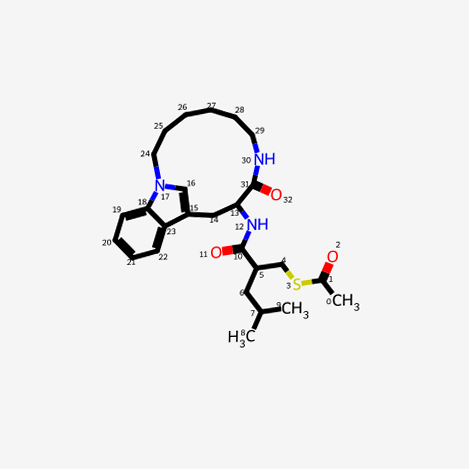 CC(=O)SCC(CC(C)C)C(=O)NC1Cc2cn(c3ccccc23)CCCCCCNC1=O